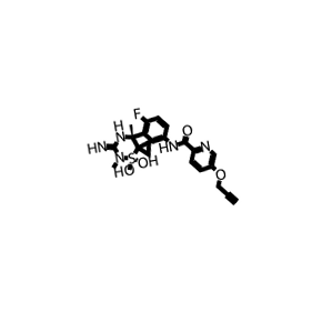 C#CCOc1ccc(C(=O)Nc2ccc(F)c([C@@]3(C)NC(=N)N(C)S(O)(O)C34CC4)c2)nc1